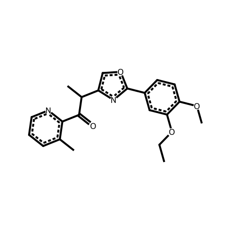 CCOc1cc(-c2nc(C(C)C(=O)c3ncccc3C)co2)ccc1OC